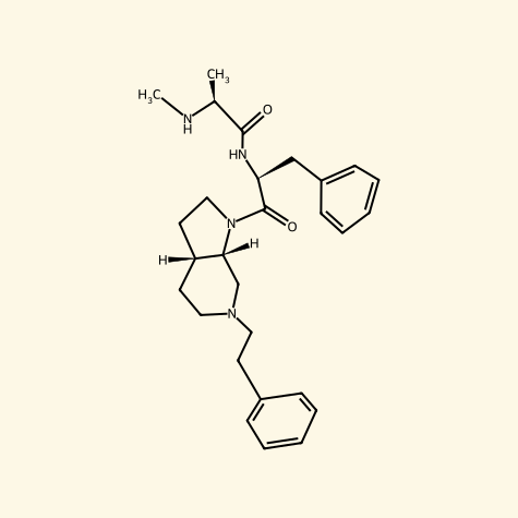 CN[C@@H](C)C(=O)N[C@@H](Cc1ccccc1)C(=O)N1CC[C@H]2CCN(CCc3ccccc3)C[C@H]21